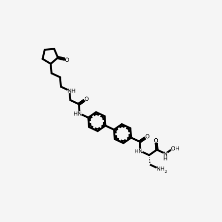 NC[C@H](NC(=O)c1ccc(-c2ccc(NC(=O)CNCCCC3CCCC3=O)cc2)cc1)C(=O)NO